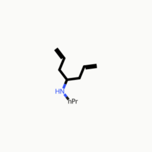 C=CCC(CC=C)NCCC